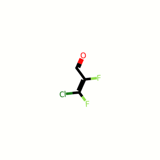 O=CC(F)=C(F)Cl